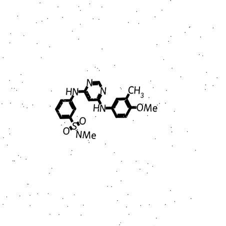 CNS(=O)(=O)c1cccc(Nc2cc(Nc3ccc(OC)c(C)c3)ncn2)c1